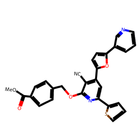 COC(=O)c1ccc(COc2nc(-c3cccs3)cc(-c3ccc(-c4cccnc4)o3)c2C#N)cc1